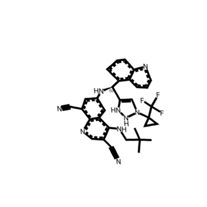 CC(C)(C)CNc1c(C#N)cnc2c(C#N)cc(N[C@H](C3=CN(C4(C(F)(F)F)CC4)NN3)c3cccc4ncccc34)cc12